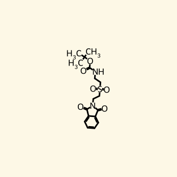 CC(C)(C)OC(=O)NCCS(=O)(=O)CCN1C(=O)c2ccccc2C1=O